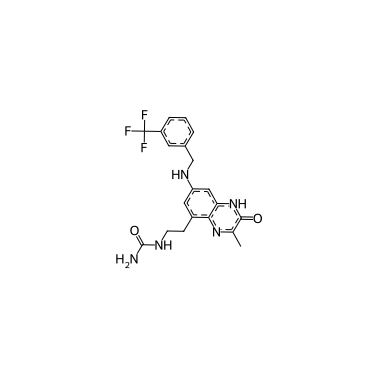 Cc1nc2c(CCNC(N)=O)cc(NCc3cccc(C(F)(F)F)c3)cc2[nH]c1=O